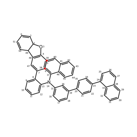 C1=CC2Oc3ccc(-c4ccccc4N(c4cccc(-c5ccc(-c6cccc7ccccc67)cc5)c4)c4cccc5ccccc45)cc3C2C=C1